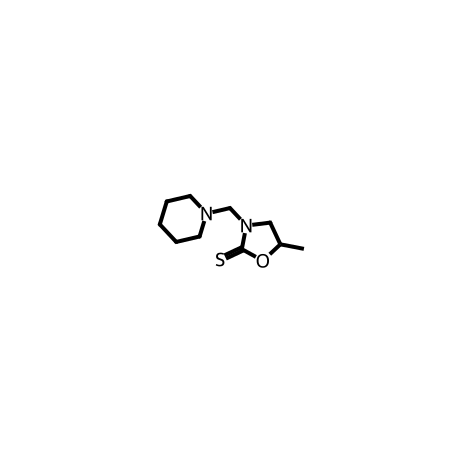 CC1CN(CN2CCCCC2)C(=S)O1